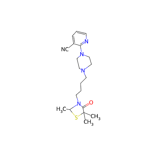 CC1SC(C)(C)C(=O)N1CCCCN1CCN(c2ncccc2C#N)CC1